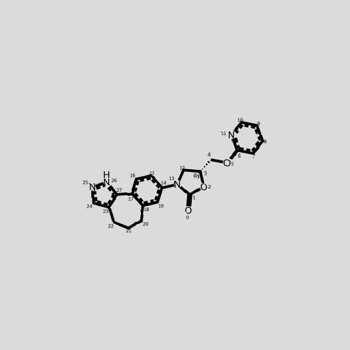 O=C1O[C@@H](COc2ccccn2)CN1c1ccc2c(c1)CCCc1cn[nH]c1-2